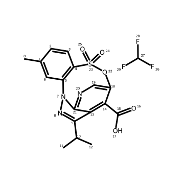 Cc1ccc2c(c1)-n1nc(C(C)C)c3c(C(=O)O)c(cnc31)OS2(=O)=O.FC(F)F